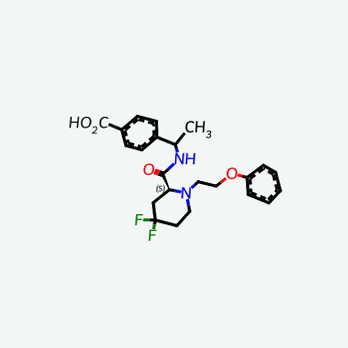 CC(NC(=O)[C@@H]1CC(F)(F)CCN1CCOc1ccccc1)c1ccc(C(=O)O)cc1